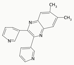 Cc1cc2nc(-c3cccnc3)c(-c3cccnc3)nc2cc1C